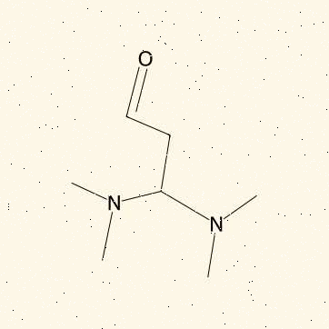 CN(C)C(CC=O)N(C)C